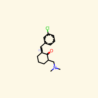 CN(C)CC1CCC/C(=C/c2cccc(Cl)c2)C1=O